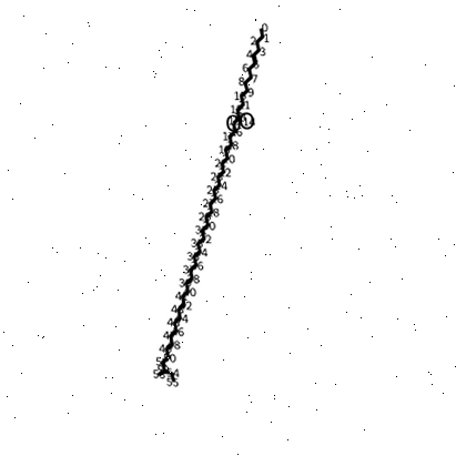 CCCCC=CCCCCCCCC(=O)OCCCCCCCCCCCCCCCCCCCCCCCCCCCCCCCCCCCCC(C)CC